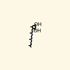 CC(C)=CCC/C(C)=C/CC/C(C)=C/Cc1c(C)cc(O)cc1O